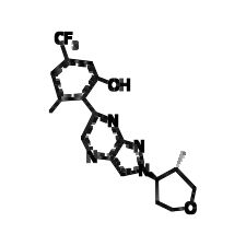 Cc1cc(C(F)(F)F)cc(O)c1-c1cnc2cn([C@@H]3CCOC[C@H]3C)nc2n1